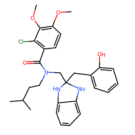 COc1ccc(C(=O)N(CCC(C)C)CC2(Cc3ccccc3O)Nc3ccccc3N2)c(Cl)c1OC